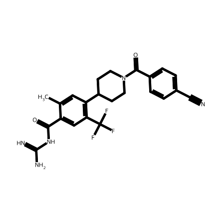 Cc1cc(C2CCN(C(=O)c3ccc(C#N)cc3)CC2)c(C(F)(F)F)cc1C(=O)NC(=N)N